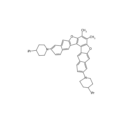 Cc1c(C)c2oc3cc4cc(N5CCC(C(C)C)CC5)ccc4cc3c2c2c1oc1cc3cc(N4CCC(C(C)C)CC4)ccc3cc12